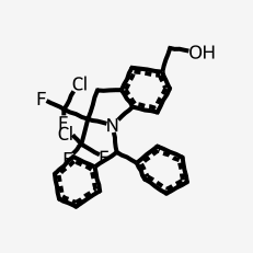 OCc1ccc2c(c1)CC(C(F)(F)Cl)(C(F)(F)Cl)N2C(c1ccccc1)c1ccccc1